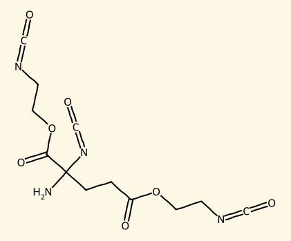 NC(CCC(=O)OCCN=C=O)(N=C=O)C(=O)OCCN=C=O